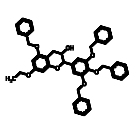 CCOc1cc(OCc2ccccc2)c2c(c1)OC(c1cc(OCc3ccccc3)c(OCc3ccccc3)c(OCc3ccccc3)c1)C(O)C2